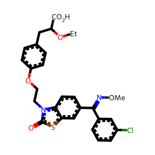 CCOC(Cc1ccc(OCCn2c(=O)sc3cc(/C(=N/OC)c4cccc(Cl)c4)ccc32)cc1)C(=O)O